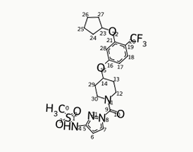 CS(=O)(=O)Nc1ccn(C(=O)N2CCC(Oc3ccc(C(F)(F)F)c(OC4CCCC4)c3)CC2)n1